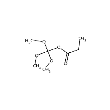 CCC(=O)OC(OC)(OC)OC